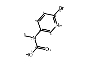 CN(C(=O)O)c1ccc(Br)nc1